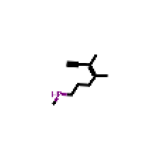 C#C/C(C)=C(/C)CCCPC